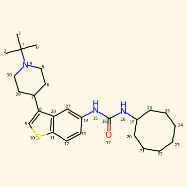 CC(C)(C)N1CCC(c2csc3ccc(NC(=O)NC4CCCCCCC4)cc23)CC1